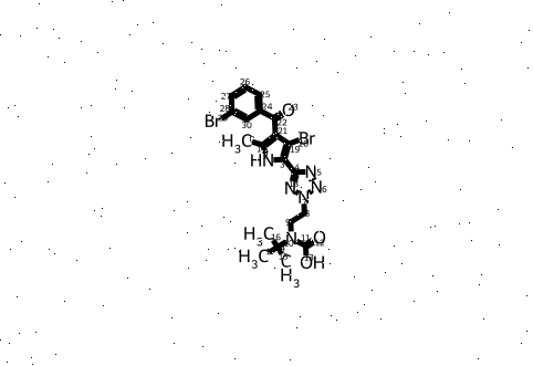 Cc1[nH]c(-c2nnn(CCN(C(=O)O)C(C)(C)C)n2)c(Br)c1C(=O)c1cccc(Br)c1